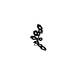 CC1(C)c2ccccc2-c2c1cc(-c1c3ccccc3c(-c3ccc4oc5cc6c(cc5c4c3)C=CCC6)c3ccccc13)c1ccccc21